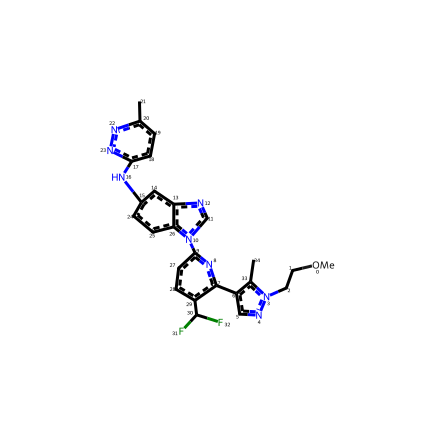 COCCn1ncc(-c2nc(-n3cnc4cc(Nc5ccc(C)nn5)ccc43)ccc2C(F)F)c1C